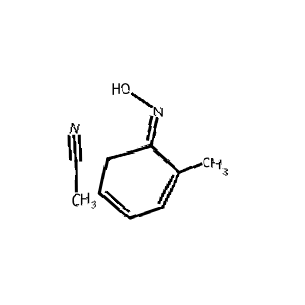 CC#N.CC1=CC=CCC1=NO